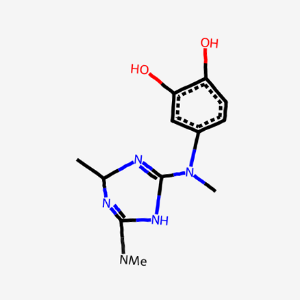 CNC1=NC(C)N=C(N(C)c2ccc(O)c(O)c2)N1